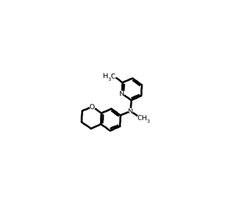 Cc1cccc(N(C)c2ccc3c(c2)OCCC3)n1